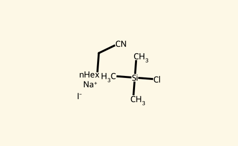 CCCCCCCC#N.C[Si](C)(C)Cl.[I-].[Na+]